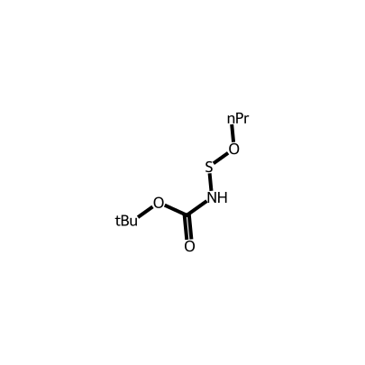 CCCOSNC(=O)OC(C)(C)C